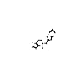 Cc1[nH]c2c(c1C)N(C)N(C(=O)c1cc3ncc(Cl)cn3n1)CC2